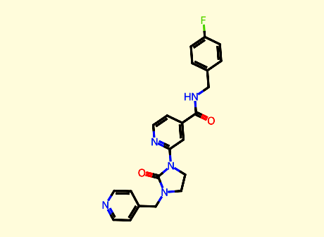 O=C(NCc1ccc(F)cc1)c1ccnc(N2CCN(Cc3ccncc3)C2=O)c1